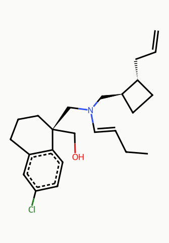 C=CC[C@@H]1CC[C@H]1CN(/C=C/CC)C[C@]1(CO)CCCc2cc(Cl)ccc21